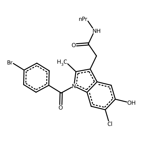 CCCNC(=O)Cc1c(C)n(C(=O)c2ccc(Br)cc2)c2cc(Cl)c(O)cc12